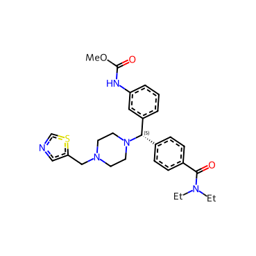 CCN(CC)C(=O)c1ccc([C@@H](c2cccc(NC(=O)OC)c2)N2CCN(Cc3cncs3)CC2)cc1